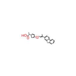 CC(=CCOc1ccc(C(C)C(=O)O)cc1)c1ccc2c(c1)Cc1ccccc1-2